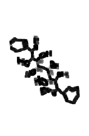 CCOC(=C(O)[C@@H](O)[C@@H](O)[C@H](O)[C@@H](O)C(O)=C(OCC)c1ccccc1)c1ccccc1